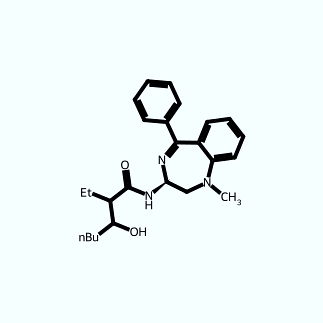 CCCCC(O)C(CC)C(=O)N[C@@H]1CN(C)c2ccccc2C(c2ccccc2)=N1